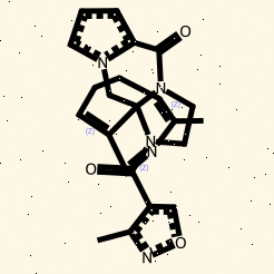 CC1=C/CC/C=C(C23Cn4cccc4C(=O)N2CCN3C(=O)c2conc2C)/C=N\1